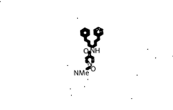 CNCC(=O)N1CCC(C(=O)NC(CCCc2ccccc2)CCCc2ccccc2)CC1